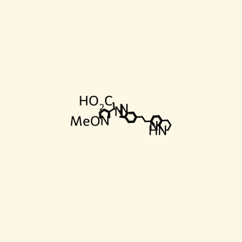 COc1ccc(C(CC(=O)O)n2cc3ccc(CCc4ccc5c(n4)NCCC5)cc3n2)cn1